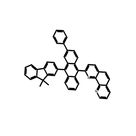 CC1(C)c2ccccc2-c2ccc(-c3c4ccccc4c(-c4ccc5ccc6cccnc6c5n4)c4ccc(-c5ccccc5)cc34)cc21